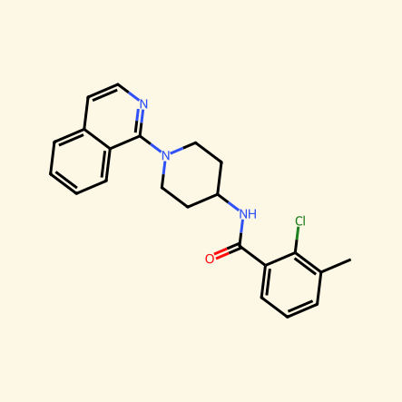 Cc1cccc(C(=O)NC2CCN(c3nccc4ccccc34)CC2)c1Cl